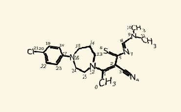 CC(=C(C#N)C(=S)N=CN(C)C)N1CCCN(c2ccc(Cl)cc2)CC1